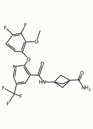 COc1c(Oc2ncc(C(F)(F)F)cc2C(=O)NC23CC(C(N)=O)(C2)C3)ccc(F)c1F